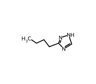 CCCCc1nc[nH]n1